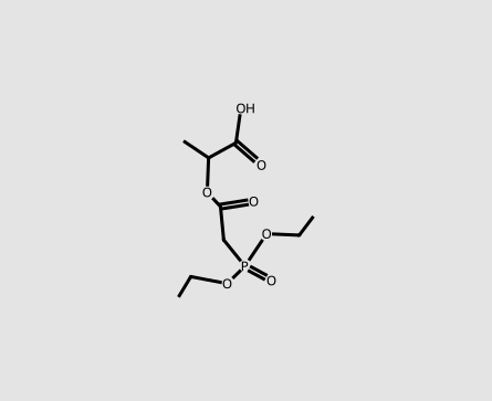 CCOP(=O)(CC(=O)OC(C)C(=O)O)OCC